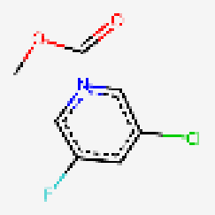 COC=O.Fc1cncc(Cl)c1